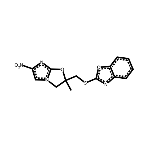 CC1(CSc2nc3ccccc3o2)Cn2cc([N+](=O)[O-])nc2O1